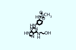 CS(=O)(=O)Nc1cccc(Nc2nc(NCCO)c3nc[nH]c3n2)c1